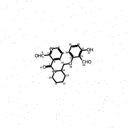 O=Cc1ncccc1C(=O)N1CCCCC1COc1cccc(O)c1C=O